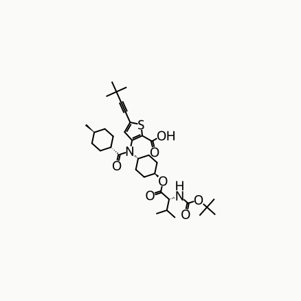 CC(C)[C@@H](NC(=O)OC(C)(C)C)C(=O)O[C@H]1CC[C@H](N(c2cc(C#CC(C)(C)C)sc2C(=O)O)C(=O)[C@H]2CC[C@H](C)CC2)CC1